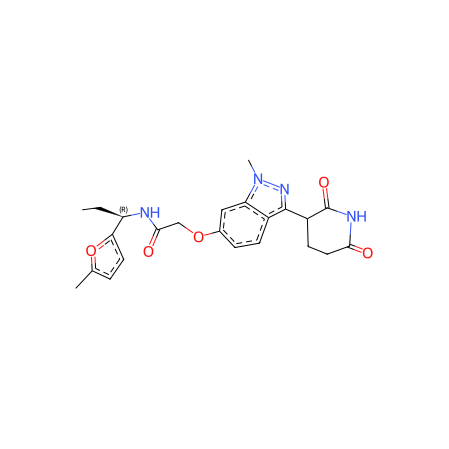 CC[C@@H](NC(=O)COc1ccc2c(C3CCC(=O)NC3=O)nn(C)c2c1)c1ccc(C)o1